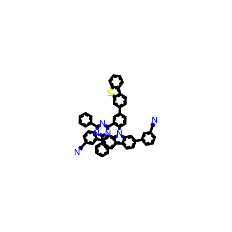 N#Cc1cccc(-c2ccc3c4ccc(-c5cccc(C#N)c5)cc4n(-c4ccc(-c5ccc6c(c5)sc5ccccc56)cc4-c4nc(-c5ccccc5)nc(-c5ccccc5)n4)c3c2)c1